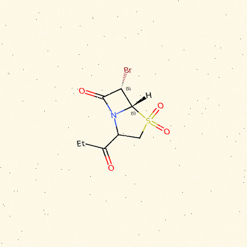 CCC(=O)C1CS(=O)(=O)[C@H]2[C@@H](Br)C(=O)N12